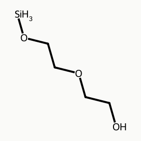 OCCOCCO[SiH3]